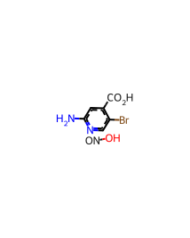 Nc1cc(C(=O)O)c(Br)cn1.O=NO